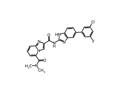 CN(C)C(=O)c1cccc2nc(C(=O)Nc3nc4cc(-c5cc(F)cc(Cl)c5)ccc4[nH]3)cn12